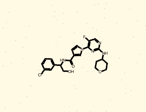 O=C(NC(CO)c1cccc(Cl)c1)c1ccn(-c2nc(NC3CCOCC3)ncc2F)c1